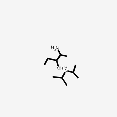 CC(C)NC(C)C.CCC(O)C(C)N